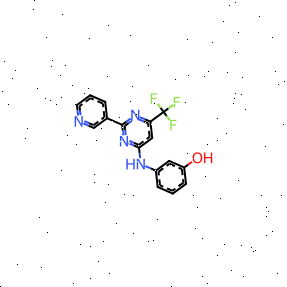 Oc1cccc(Nc2cc(C(F)(F)F)nc(-c3cccnc3)n2)c1